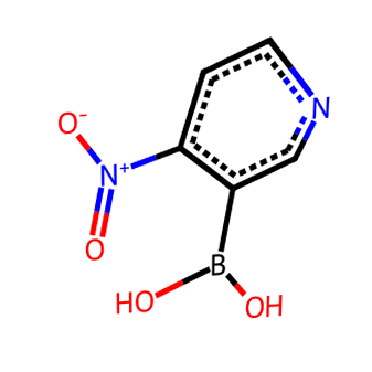 O=[N+]([O-])c1ccncc1B(O)O